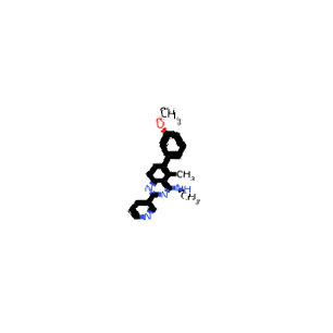 CNc1nc(-c2cccnc2)nc2ccc(-c3cccc(OC)c3)c(C)c12